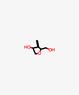 C=C1C(O)COC1CO